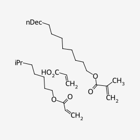 C=C(C)C(=O)OCCCCCCCCCCCCCCCCCC.C=CC(=O)O.C=CC(=O)OCCCCCC(C)C